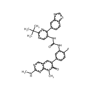 CNc1ncc2cc(-c3ccc(F)c(NC(=O)Nc4cnc(C(C)(C)C)nc4-c4ccc5scnc5c4)c3)c(=O)n(C)c2n1